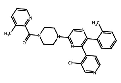 Cc1ccccc1-c1ncc(N2CCN(C(=O)c3ncccc3C)CC2)nc1-c1ccncc1Cl